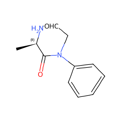 C[C@@H](N)C(=O)N(C[C]=O)c1ccccc1